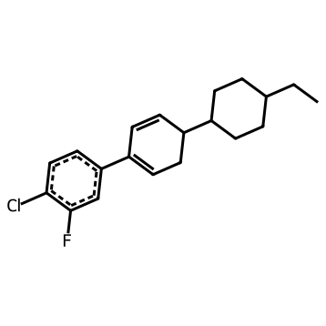 CCC1CCC(C2C=CC(c3ccc(Cl)c(F)c3)=CC2)CC1